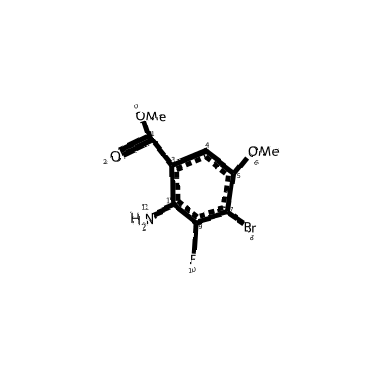 COC(=O)c1cc(OC)c(Br)c(F)c1N